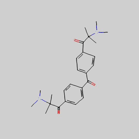 CN(C)C(C)(C)C(=O)c1ccc(C(=O)c2ccc(C(=O)C(C)(C)N(C)C)cc2)cc1